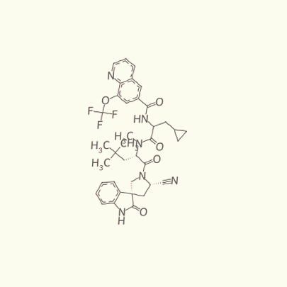 CN(C(=O)C(CC1CC1)NC(=O)c1cc(OC(F)(F)F)c2ncccc2c1)[C@@H](CC(C)(C)C)C(=O)N1C[C@]2(C[C@H]1C#N)C(=O)Nc1ccccc12